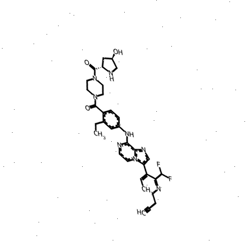 C#CCC/N=C(\C(=C/C)c1cnc2c(Nc3ccc(C(=O)N4CCN(C(=O)[C@@H]5C[C@@H](O)CN5)CC4)c(CC)c3)nccn12)C(F)F